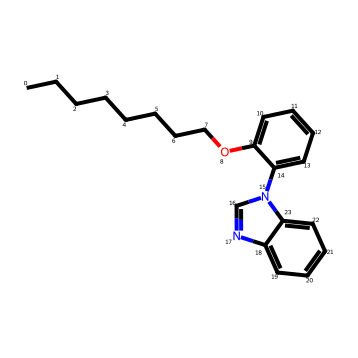 CCCCCCCCOc1ccccc1-n1cnc2ccccc21